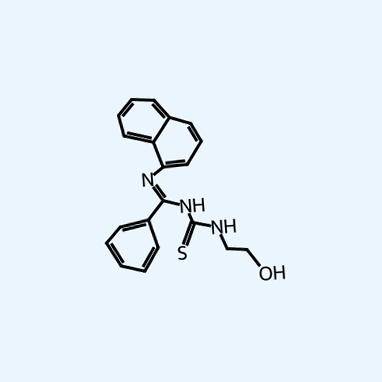 OCCNC(=S)NC(=Nc1cccc2ccccc12)c1ccccc1